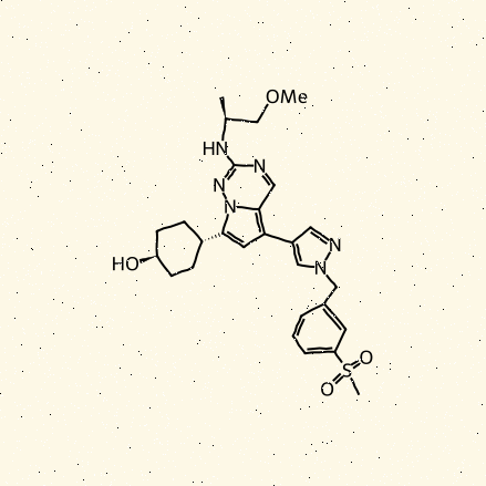 COC[C@H](C)Nc1ncc2c(-c3cnn(Cc4cccc(S(C)(=O)=O)c4)c3)cc([C@H]3CC[C@H](O)CC3)n2n1